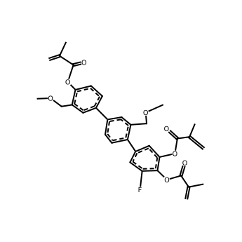 C=C(C)C(=O)Oc1ccc(-c2ccc(-c3cc(F)c(OC(=O)C(=C)C)c(OC(=O)C(=C)C)c3)c(COC)c2)cc1COC